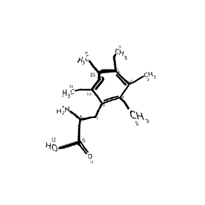 Cc1c(C)c(C)c(CC(N)C(=O)O)c(C)c1C